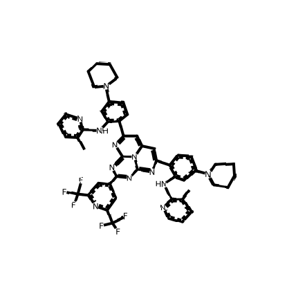 Cc1cccnc1Nc1cc(N2CCCCC2)ccc1C1=CC2=CC(c3ccc(N4CCCCC4)cc3Nc3ncccc3C)=NC3=NC(c4cc(C(F)(F)F)nc(C(F)(F)F)c4)=NC(=N1)N23